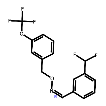 FC(F)c1cccc(/[C]=N\OCc2cccc(OC(F)(F)F)c2)c1